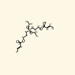 CC=CC(=O)OCCC[Si](CCCOC(=O)C=CC)(OCC)OCC